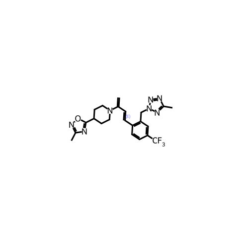 C=C(/C=C/c1ccc(C(F)(F)F)cc1Cn1nnc(C)n1)N1CCC(c2nc(C)no2)CC1